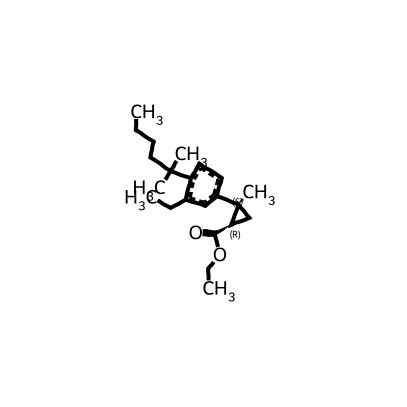 CCCCC(C)(C)c1ccc([C@@]2(C)C[C@H]2C(=O)OCC)cc1CC